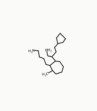 CC1CCCCC(C(CN)CCC2CCCC2)C1CCCCN